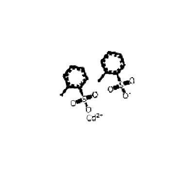 Cc1ccccc1S(=O)(=O)[O-].Cc1ccccc1S(=O)(=O)[O-].[Cd+2]